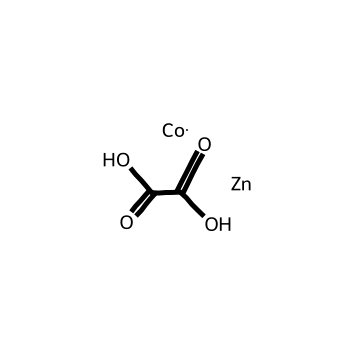 O=C(O)C(=O)O.[Co].[Zn]